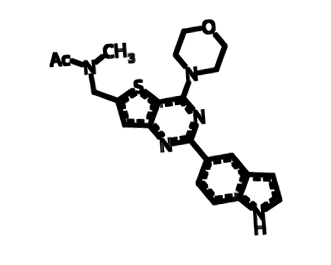 CC(=O)N(C)Cc1cc2nc(-c3ccc4[nH]ccc4c3)nc(N3CCOCC3)c2s1